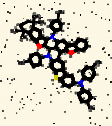 CC(C)(C)c1ccc(N2B3c4oc5cc6c(cc5c4N(c4ccc(C(C)(C)C)cc4)c4cc5c(oc7ccccc75)c(c43)-c3cc4c(cc32)sc2ccc(N(c3ccc(C(C)(C)C)cc3)c3ccc(C(C)(C)C)cc3)cc24)C(C)(C)CCC6(C)C)cc1